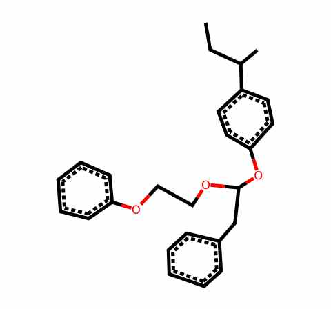 CCC(C)c1ccc(OC(Cc2ccccc2)OCCOc2ccccc2)cc1